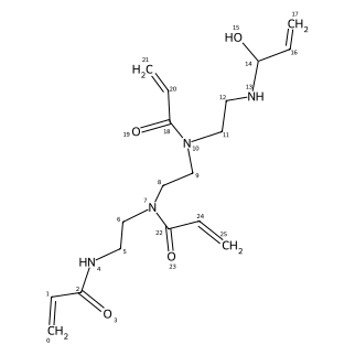 C=CC(=O)NCCN(CCN(CCNC(O)C=C)C(=O)C=C)C(=O)C=C